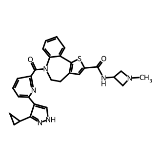 CN1CC(NC(=O)c2cc3c(s2)-c2ccccc2N(C(=O)c2cccc(-c4c[nH]nc4C4CC4)n2)CC3)C1